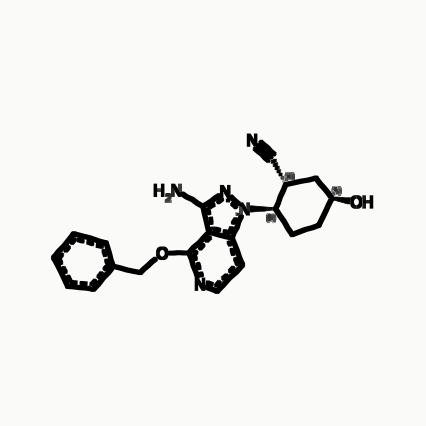 N#C[C@@H]1C[C@@H](O)CC[C@H]1n1nc(N)c2c(OCc3ccccc3)nccc21